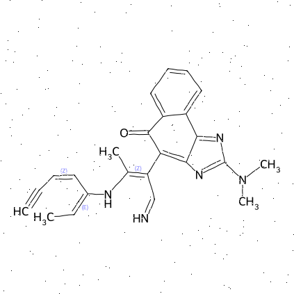 C#C/C=C\C(=C/C)N/C(C)=C(\C=N)C1=C2N=C(N(C)C)N=C2c2ccccc2C1=O